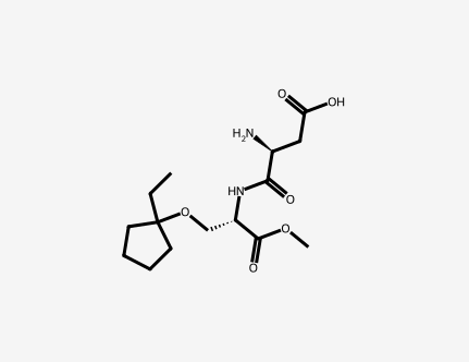 CCC1(OC[C@H](NC(=O)[C@@H](N)CC(=O)O)C(=O)OC)CCCC1